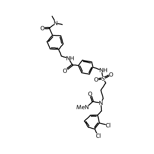 CNC(=O)N(CCCS(=O)(=O)Nc1ccc(C(=O)NCc2ccc(C(=O)N(C)C)cc2)cc1)Cc1cccc(Cl)c1Cl